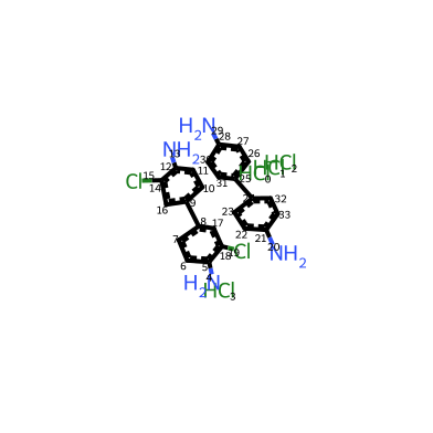 Cl.Cl.Cl.Cl.Nc1ccc(-c2ccc(N)c(Cl)c2)cc1Cl.Nc1ccc(-c2ccc(N)cc2)cc1